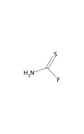 NC(F)=S